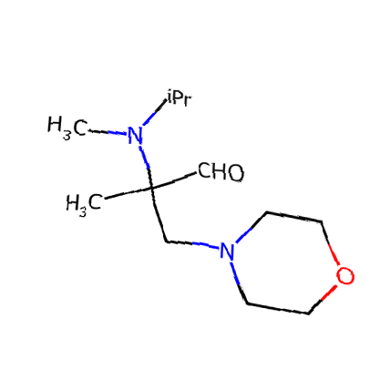 CC(C)N(C)C(C)(C=O)CN1CCOCC1